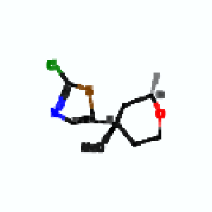 CO[C@]1(c2cnc(Cl)s2)CCO[C@@H](C)C1